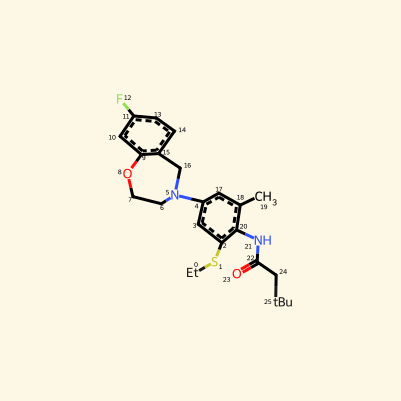 CCSc1cc(N2CCOc3cc(F)ccc3C2)cc(C)c1NC(=O)CC(C)(C)C